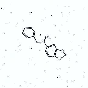 CN(Cc1ccccc1)c1ccc2c(c1)OCO2